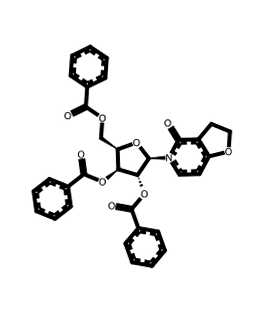 O=C(OC[C@H]1O[C@@H](n2ccc3c(c2=O)CCO3)[C@H](OC(=O)c2ccccc2)[C@H]1OC(=O)c1ccccc1)c1ccccc1